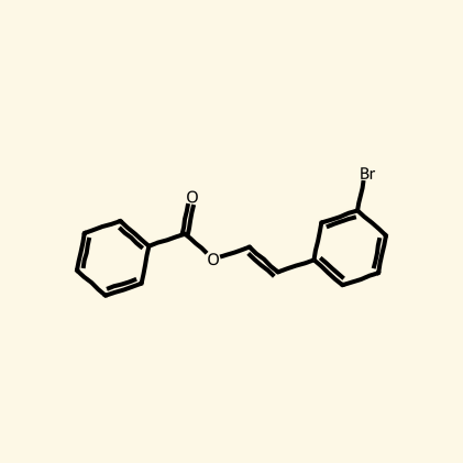 O=C(OC=Cc1cccc(Br)c1)c1ccccc1